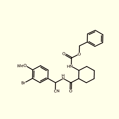 COc1ccc(C(C#N)NC(=O)C2CCCCC2NC(=O)OCc2ccccc2)cc1Br